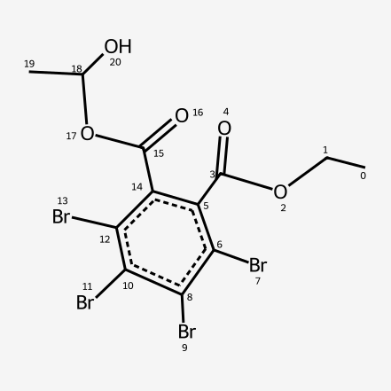 CCOC(=O)c1c(Br)c(Br)c(Br)c(Br)c1C(=O)OC(C)O